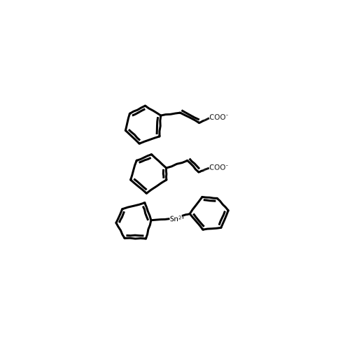 O=C([O-])C=Cc1ccccc1.O=C([O-])C=Cc1ccccc1.c1cc[c]([Sn+2][c]2ccccc2)cc1